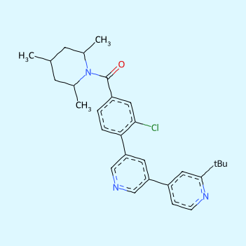 CC1CC(C)N(C(=O)c2ccc(-c3cncc(-c4ccnc(C(C)(C)C)c4)c3)c(Cl)c2)C(C)C1